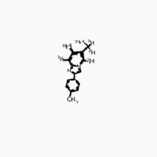 [2H]c1c(C([2H])([2H])[2H])c([2H])n2cc(-c3ccc(C)cc3)nc2c1[2H]